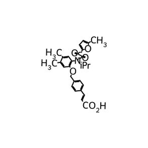 Cc1ccc(S(=O)(=O)N(c2cc(C)c(C)cc2OCc2ccc(/C=C/C(=O)O)cc2)C(C)C)o1